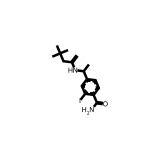 C=C(CC(C)(C)C)NC(C)c1ccc(C(N)=O)c(I)c1